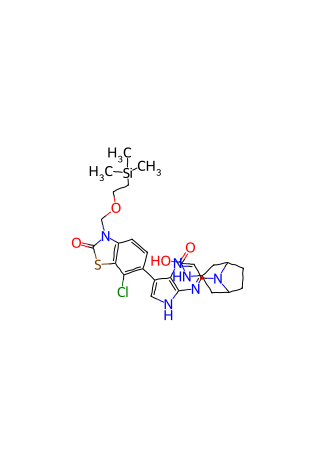 C[Si](C)(C)CCOCn1c(=O)sc2c(Cl)c(-c3c[nH]c4nc(N5C6CCC5CC(NC(=O)O)C6)cnc34)ccc21